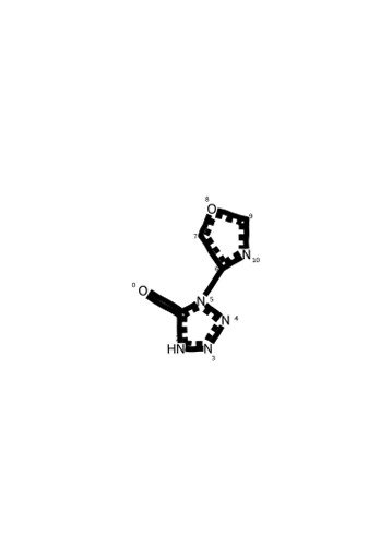 O=c1[nH]nnn1-c1cocn1